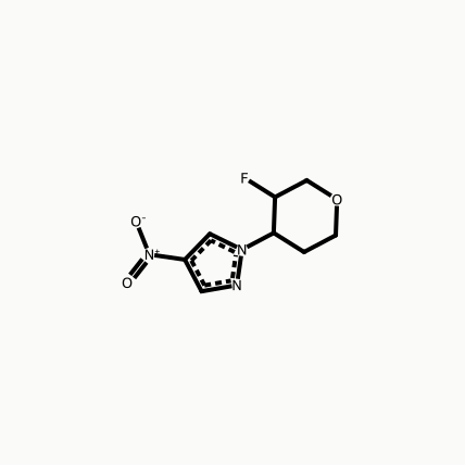 O=[N+]([O-])c1cnn(C2CCOCC2F)c1